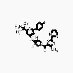 Cc1nc(-c2ncccn2)sc1C(=O)N1C[C@@H]2[C@H](C1)[C@@H]2Oc1cc(-c2ccc(F)cc2)nc(C(C)(C)N)c1